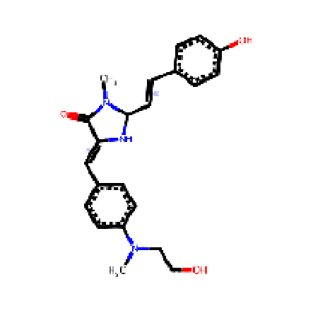 CN(CCO)c1ccc(/C=C2\NC(/C=C/c3ccc(O)cc3)N(C)C2=O)cc1